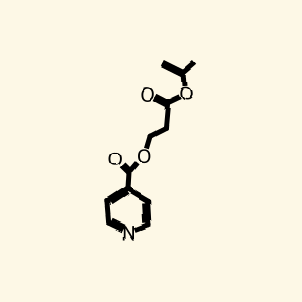 C=C(C)OC(=O)CCOC(=O)c1ccncc1